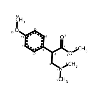 COC(=O)C(CN(C)C)c1ccc(OC)cc1